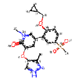 Cc1n[nH]cc1Oc1cc(-c2cc(S(C)(=O)=O)ccc2OCC2CC2)cn(C)c1=O